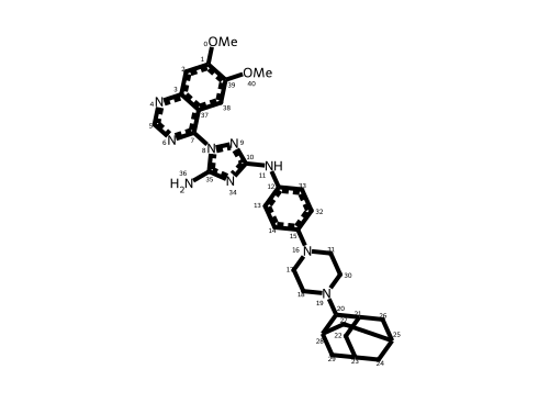 COc1cc2ncnc(-n3nc(Nc4ccc(N5CCN(C6C7CC8CC(C7)CC6C8)CC5)cc4)nc3N)c2cc1OC